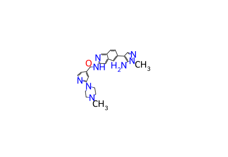 CN1CCN(c2cc(C(=O)Nc3cc4cc(-c5cnn(C)c5N)ccc4cn3)ccn2)CC1